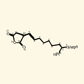 CCCCCCCC(CCC)CCCCCC=CC1CC(=O)OC1=O